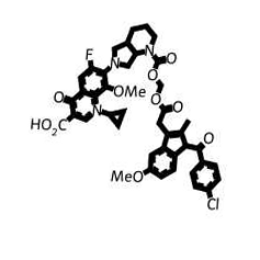 COc1ccc2c(c1)C(CC(=O)OCOC(=O)N1CCCC3CN(c4c(F)cc5c(=O)c(C(=O)O)cn(C6CC6)c5c4OC)CC31)=C(C)C2C(=O)c1ccc(Cl)cc1